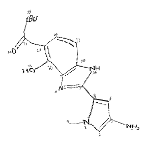 Cn1cc(N)cc1-c1nc2c(O)c(C(=O)C(C)(C)C)ccc2[nH]1